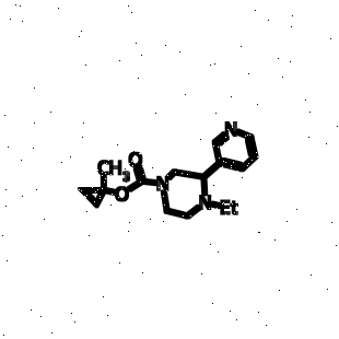 CCN1CCN(C(=O)OC2(C)CC2)CC1c1cccnc1